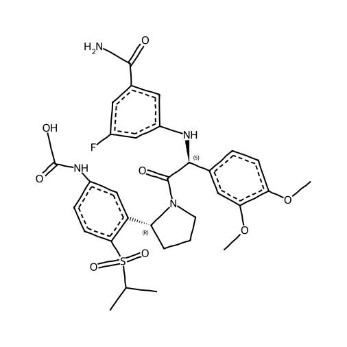 COc1ccc([C@H](Nc2cc(F)cc(C(N)=O)c2)C(=O)N2CCC[C@@H]2c2cc(NC(=O)O)ccc2S(=O)(=O)C(C)C)cc1OC